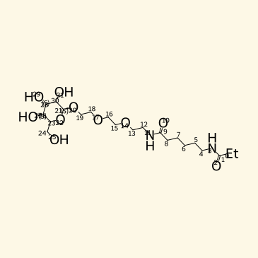 CCC(=O)NCCCCCC(=O)NCCOCCOCCO[C@H]1OC(CO)[C@@H](O)[C@H](O)C1O